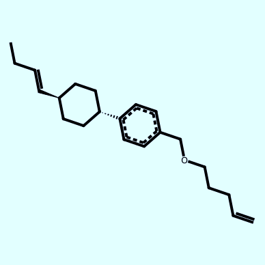 C=CCCCOCc1ccc([C@H]2CC[C@H](C=CCC)CC2)cc1